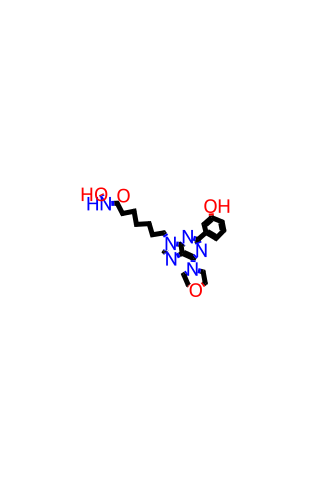 O=C(CCCCCCn1cnc2c(N3CCOCC3)nc(-c3cccc(O)c3)nc21)NO